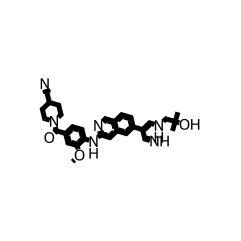 COc1cc(C(=O)N2CCC(C#N)CC2)ccc1Nc1cc2cc(/C(C=N)=C/NCC(C)(C)O)ccc2cn1